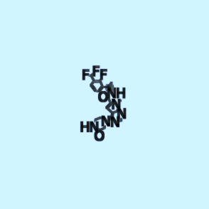 C[C@@H](NC(=O)c1cc2c(N3CCNC(=O)C3)ncnc2n1C)c1cccc(C(F)F)c1F